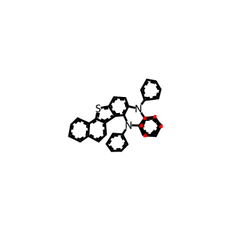 c1ccc(N(c2ccccc2)c2ccc3sc4c5ccccc5ccc4c3c2N(c2ccccc2)c2ccccc2)cc1